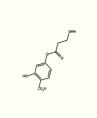 CSCCC(=O)Oc1ccc(C(=O)O)c(O)c1